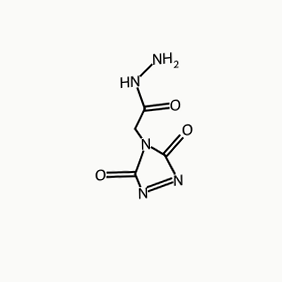 NNC(=O)CN1C(=O)N=NC1=O